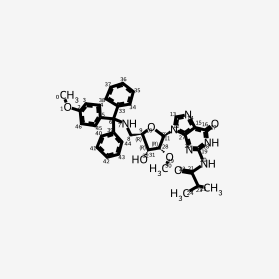 COc1ccc(C(NC[C@H]2O[C@@H](n3cnc4c(=O)[nH]c(NC(=O)C(C)C)nc43)[C@H](OC)[C@@H]2O)(c2ccccc2)c2ccccc2)cc1